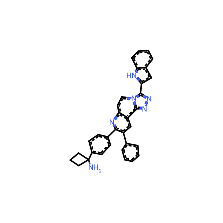 NC1(c2ccc(-c3nc4ccn5c(-c6cc7ccccc7[nH]6)nnc5c4cc3-c3ccccc3)cc2)CCC1